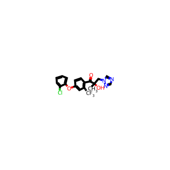 CC(O)(Cn1cncn1)C(=O)c1ccc(Oc2ccccc2Cl)cc1C(F)(F)F